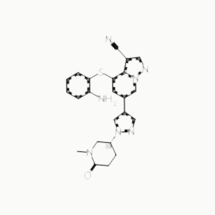 CN1C[C@@H](n2cc(-c3cc(Sc4ccccc4N)c4c(C#N)cnn4c3)cn2)CCC1=O